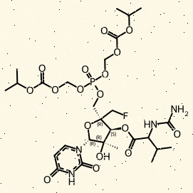 CC(C)OC(=O)OCOP(=O)(OCOC(=O)OC(C)C)OC[C@@]1(CF)O[C@@H](n2ccc(=O)[nH]c2=O)[C@](C)(O)[C@@H]1OC(=O)C(NC(N)=O)C(C)C